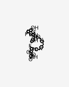 C#Cc1c(F)ccc2cc(O)cc(-c3ncc4c(N5CC6CCC(C5)N6)nc(OCCN5CCC(CC6CCN(CC7CCN(c8cc(F)cc9c8CN(C8CCC(=O)NC8=O)C9=O)CC7)CC6)CC5)nc4c3F)c12